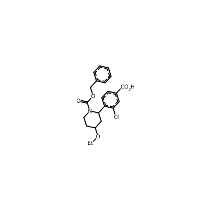 CCOC1CCN(C(=O)OCc2ccccc2)C(c2ccc(C(=O)O)cc2Cl)C1